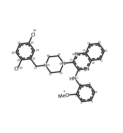 COc1ccccc1Nc1nc2ccccc2nc1N1CCN(Cc2cc(Cl)ccc2Cl)CC1